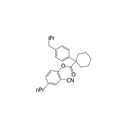 CCCc1ccc(OC(=O)C2(c3ccc(CC(C)C)cc3)CCCCC2)c(C#N)c1